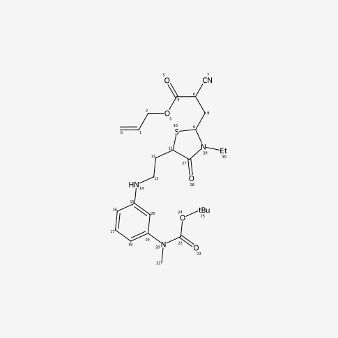 C=CCOC(=O)C(C#N)CC1SC(CCNc2cccc(N(C)C(=O)OC(C)(C)C)c2)C(=O)N1CC